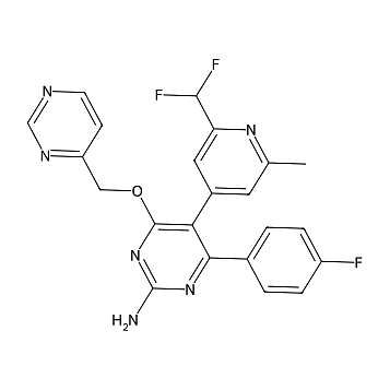 Cc1cc(-c2c(OCc3ccncn3)nc(N)nc2-c2ccc(F)cc2)cc(C(F)F)n1